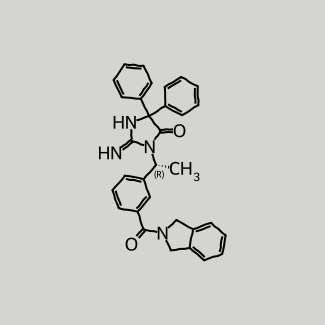 C[C@H](c1cccc(C(=O)N2Cc3ccccc3C2)c1)N1C(=N)NC(c2ccccc2)(c2ccccc2)C1=O